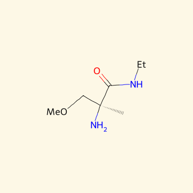 CCNC(=O)[C@@](C)(N)COC